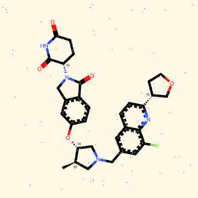 C[C@@H]1CN(Cc2cc(F)c3nc([C@@H]4CCOC4)ccc3c2)C[C@H]1Oc1ccc2c(c1)CN([C@H]1CCC(=O)NC1=O)C2=O